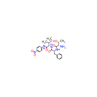 CC[C@H](C)[C@H](NC(=O)[C@H](Cc1ccccc1)NC(=O)[C@@H](N)[C@@H](C)O)C(=O)Nc1ccc([N+](=O)[O-])cc1